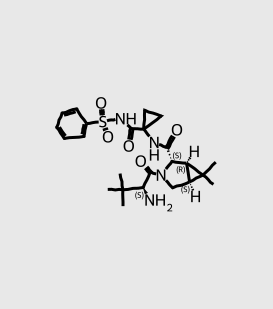 CC(C)(C)[C@H](N)C(=O)N1C[C@H]2[C@@H]([C@H]1C(=O)NC1(C(=O)NS(=O)(=O)c3ccccc3)CC1)C2(C)C